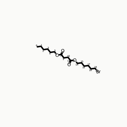 CCCCCCOC(=O)CCC(=O)OCCCCCCBr